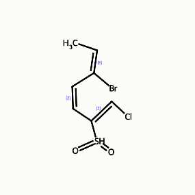 C\C=C(Br)/C=C\C(=C\Cl)[SH](=O)=O